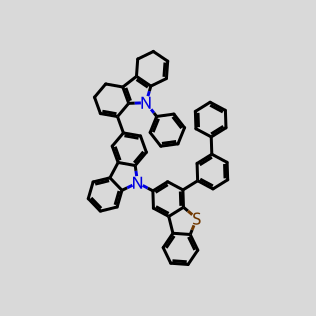 C1=Cc2c(c3c(n2-c2ccccc2)C(c2ccc4c(c2)c2ccccc2n4-c2cc(-c4cccc(-c5ccccc5)c4)c4sc5ccccc5c4c2)=CCC3)CC1